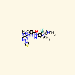 Cc1ccc(C(=O)Nc2ccc(N(C)CCN(C)C)c(C(F)(F)F)c2)cc1Nc1ncnc2cnc(N3CCSCC3)nc12